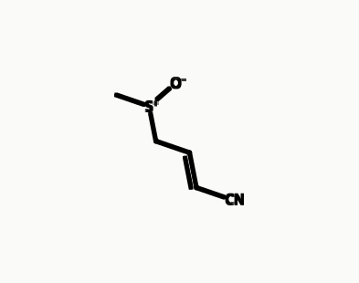 C[S+]([O-])CC=CC#N